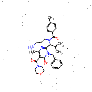 Cc1ccc(C(=O)N(CCCN)C(c2nc(C)c(C(=O)N3CCOCC3)c(=O)n2Cc2ccccc2)C(C)C)cc1